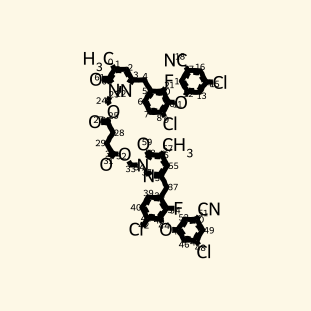 Cc1cc(Cc2ccc(Cl)c(Oc3cc(Cl)cc(C#N)c3)c2F)nn(COC(=O)CCC(=O)OCn2nc(Cc3ccc(Cl)c(Oc4cc(Cl)cc(C#N)c4)c3F)cc(C)c2=O)c1=O